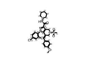 COc1ccc(/C=C2\CN(S(C)(=O)=O)Cc3c(C(=O)NN4CCCCC4)nn(-c4ccc(Cl)cc4Cl)c32)cc1